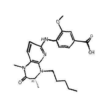 CCCCCN1c2nc(Nc3ccc(C(=O)O)cc3OC)ccc2N(C)C(=O)[C@H]1C